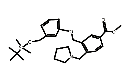 COC(=O)c1ccc(CN2CCCC2)c(COc2cccc(CO[Si](C)(C)C(C)(C)C)c2)c1